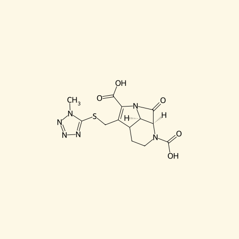 Cn1nnnc1SCC1=C(C(=O)O)N2C(=O)[C@@H]3[C@H]2C1CCN3C(=O)O